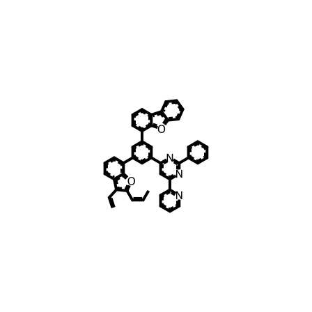 C=Cc1c(/C=C\C)oc2c(-c3cc(-c4cc(-c5ccccn5)nc(-c5ccccc5)n4)cc(-c4cccc5c4oc4ccccc45)c3)cccc12